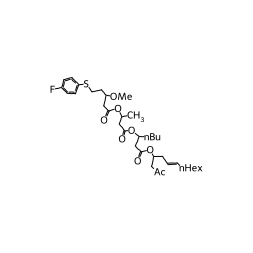 CCCCCCC=CCC(CC(C)=O)OC(=O)CC(CCCC)OC(=O)CC(C)OC(=O)CC(CCSc1ccc(F)cc1)OC